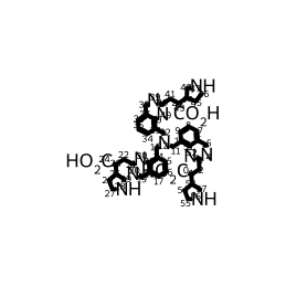 O=C(O)C(Cc1ncc2cccc(CN(Cc3cccc4cnc(CC(C(=O)O)C5CCNC5)nc34)Cc3cccc4cnc(CC(C(=O)O)C5CCNC5)nc34)c2n1)C1CCNC1